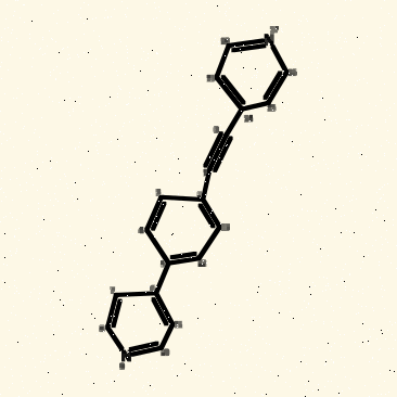 C(#Cc1ccc(-c2ccncc2)cc1)c1ccncc1